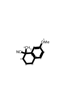 COc1ccc2c(c1)C(C)(C#N)CCC2